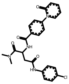 CN(C)C(=O)C(CC(=O)Nc1ccc(Cl)cc1)NC(=O)c1ccc(-n2ccccc2=O)cc1